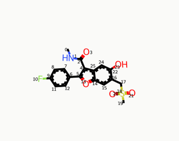 CNC(=O)c1c(-c2ccc(F)cc2)oc2cc(CS(C)(=O)=O)c(O)cc12